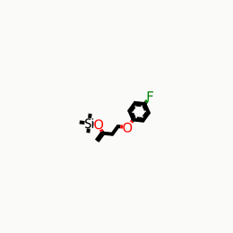 C=C(CCOc1ccc(F)cc1)O[Si](C)(C)C